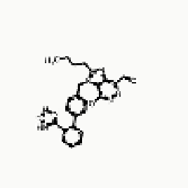 CCCCc1nc2c(C=O)nnc(O)c2n1Cc1ccc(-c2ccccc2-c2nnn[nH]2)cc1